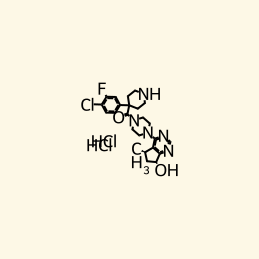 C[C@@H]1C[C@@H](O)c2ncnc(N3CCN(C(=O)C4(c5ccc(Cl)c(F)c5)CCNCC4)CC3)c21.Cl.Cl